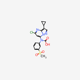 CS(=O)(=O)c1cccc(N(C(=O)O)c2cc(Cl)nc3c(C4CC4)cnn23)c1